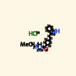 COCCN1CCN(C(=O)c2ccc(C=Cc3n[nH]c4ccccc34)cc2)CC1.Cl